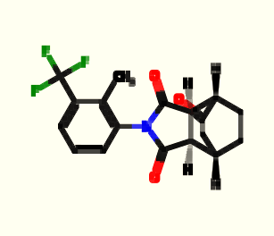 Cc1c(N2C(=O)[C@@H]3[C@H]4CC[C@H](C(=O)C4)[C@@H]3C2=O)cccc1C(F)(F)F